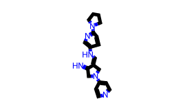 N=C1CN(c2ccncc2)C/C1=C/Nc1ccc(N2CCCC2)nc1